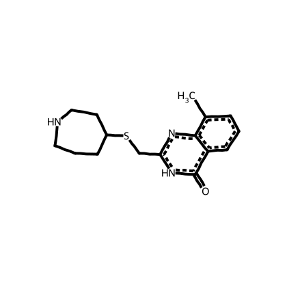 Cc1cccc2c(=O)[nH]c(CSC3CCCNCC3)nc12